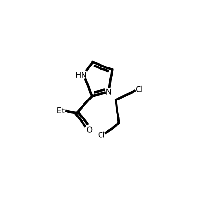 CCC(=O)c1ncc[nH]1.ClCCCl